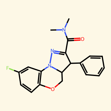 CN(C)C(=O)C1=NN2c3cc(F)ccc3OCC2C1c1ccccc1